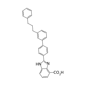 O=C(O)c1cccc2[nH]c(-c3ccc(-c4cccc(CCCc5ccccc5)c4)cc3)nc12